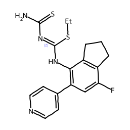 CCS/C(=N\C(N)=S)Nc1c(-c2ccncc2)cc(F)c2c1CCC2